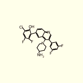 NC1CCN(c2c(-c3cc(F)cc(F)c3)cnc3ccc(-c4c(O)c(Cl)cc(F)c4F)cc23)CC1